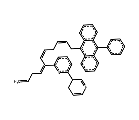 C=CC/C=C(\C=C/C/C=C\Cc1c2ccccc2c(-c2ccccc2)c2ccccc12)c1cccc(C2C=NC=CC2)n1